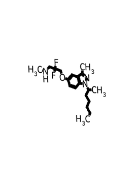 CCCCCC(C)n1nc(C)c2cc(OCC(F)(F)CNC)ccc21